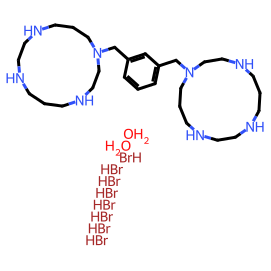 Br.Br.Br.Br.Br.Br.Br.Br.O.O.c1cc(CN2CCCNCCNCCCNCC2)cc(CN2CCCNCCNCCCNCC2)c1